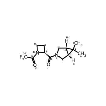 CC1(C)[C@@H]2CN(C(=O)[C@@H]3CCN3C(=O)C(F)(F)F)C[C@@H]21